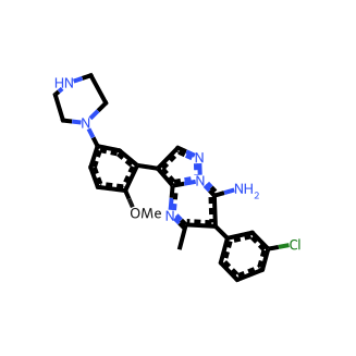 COc1ccc(N2CCNCC2)cc1-c1cnn2c(N)c(-c3cccc(Cl)c3)c(C)nc12